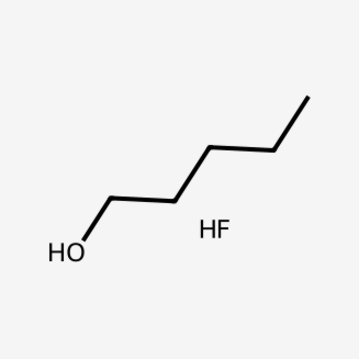 CCCCCO.F